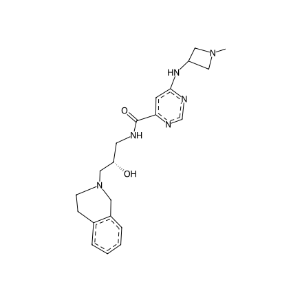 CN1CC(Nc2cc(C(=O)NC[C@H](O)CN3CCc4ccccc4C3)ncn2)C1